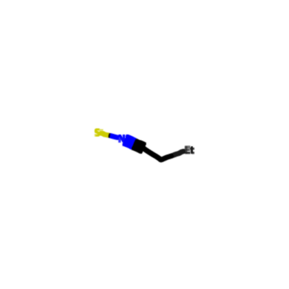 CCCC#[N+][S-]